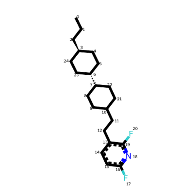 CCC[C@H]1CC[C@H](C2CCC(CCc3ccc(F)nc3F)CC2)CC1